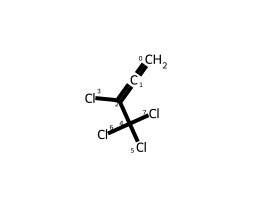 C=C=C(Cl)C(Cl)(Cl)Cl